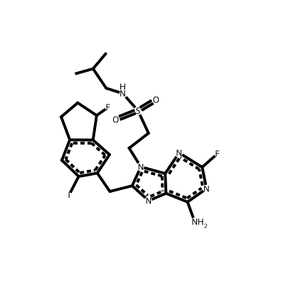 CC(C)CNS(=O)(=O)CCn1c(Cc2cc3c(cc2I)CCC3F)nc2c(N)nc(F)nc21